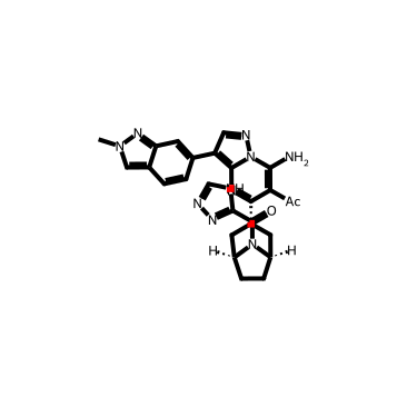 CC(=O)c1c([C@@H]2C[C@H]3CC[C@@H](C2)N3C(=O)c2nnc[nH]2)nc2c(-c3ccc4cn(C)nc4c3)cnn2c1N